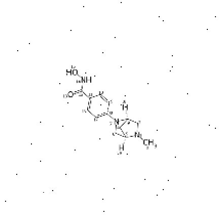 CN1C[C@H]2C[C@@H]1CN2c1ccc(C(=O)NO)cc1